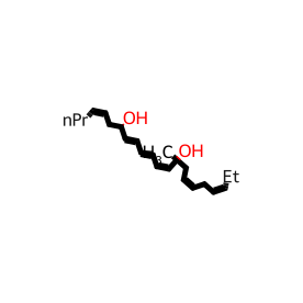 CC/C=C\C/C=C\CC(C)(O)\C=C/C=C/C=C/[C@@H](O)C/C=C\CCC